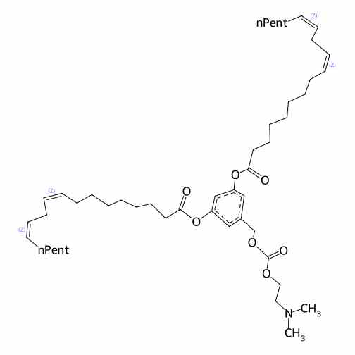 CCCCC/C=C\C/C=C\CCCCCCCC(=O)Oc1cc(COC(=O)OCCN(C)C)cc(OC(=O)CCCCCCC/C=C\C/C=C\CCCCC)c1